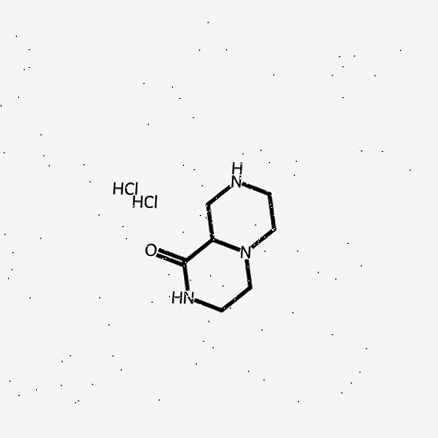 Cl.Cl.O=C1NCCN2CCNCC12